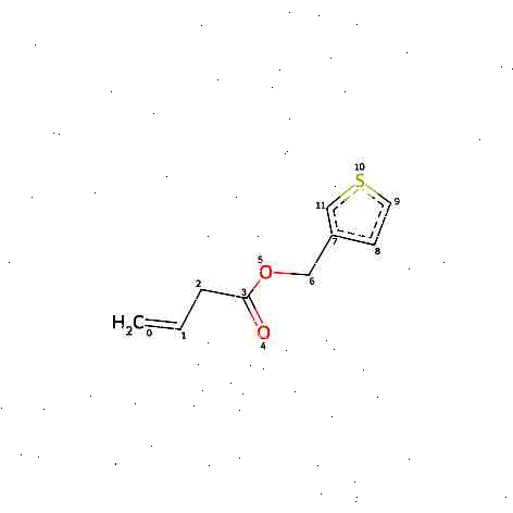 C=CCC(=O)OCc1ccsc1